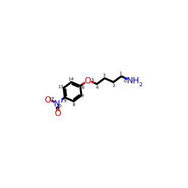 NCCCCOc1ccc([N+](=O)[O-])cc1